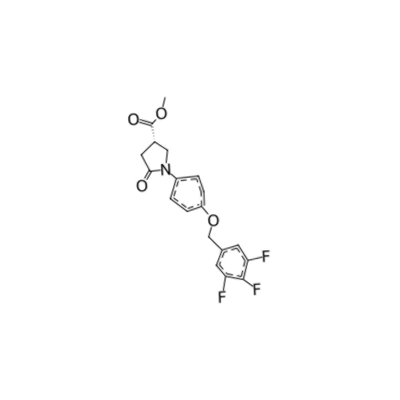 COC(=O)[C@H]1CC(=O)N(c2ccc(OCc3cc(F)c(F)c(F)c3)cc2)C1